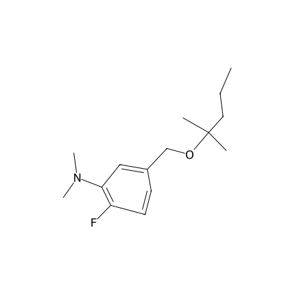 CCCC(C)(C)OCc1ccc(F)c(N(C)C)c1